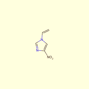 C=Cn1cnc([N+](=O)[O-])c1